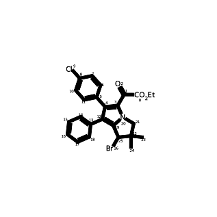 CCOC(=O)C(=O)c1c(-c2ccc(Cl)cc2)c(-c2ccccc2)c2n1CC(C)(C)C2Br